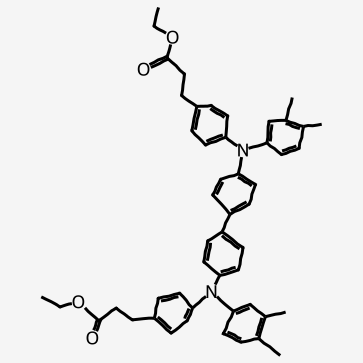 CCOC(=O)CCc1ccc(N(c2ccc(-c3ccc(N(c4ccc(CCC(=O)OCC)cc4)c4ccc(C)c(C)c4)cc3)cc2)c2ccc(C)c(C)c2)cc1